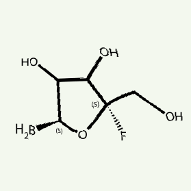 B[C@@H]1O[C@](F)(CO)C(O)C1O